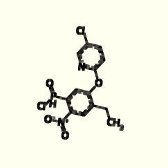 CCc1cc([N+](=O)[O-])c([PH](=O)Cl)cc1Oc1ccc(Cl)cn1